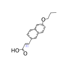 CCCOc1ccc2cc(/C=C/C(=O)O)ccc2c1